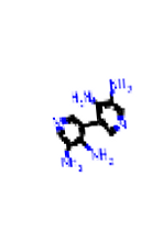 Nc1cncc(-c2cncc(N)c2N)c1N